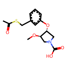 CO[C@@H]1CN(C(=O)O)C[C@H]1Oc1cccc(CSC(C)=O)c1